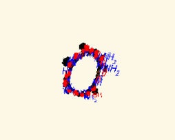 CCCC[C@H]1C(=O)N2CCC[C@@H]2C(=O)N[C@@H](CCCN)C(=O)N[C@H](C(=O)NCC(N)=O)CSCC(=O)N[C@@H](Cc2ccc(O)cc2)C(=O)N(C)[C@@H](C)C(=O)N[C@@H](CC(N)=O)C(=O)N2CCC[C@H]2C(=O)N[C@@H](Cc2cnc[nH]2)C(=O)N[C@@H](CC(C)C)C(=O)N2CCC[C@H]2C(=O)N[C@@H](Cc2c[nH]c3ccccc23)C(=O)N[C@@H](CO)C(=O)N[C@@H](Cc2csc3ccccc23)C(=O)N1C